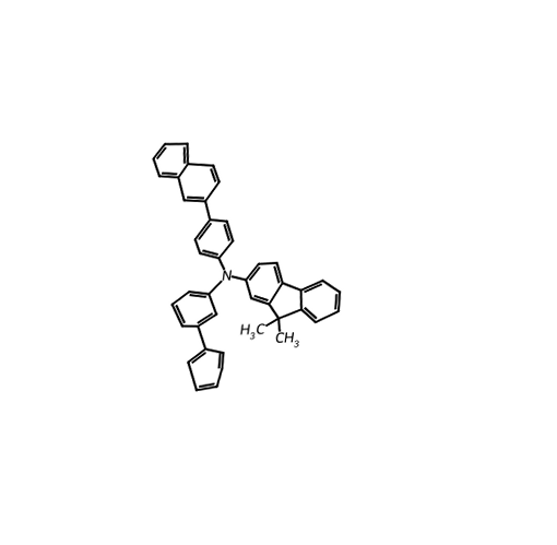 CC1(C)c2ccccc2-c2ccc(N(c3ccc(-c4ccc5ccccc5c4)cc3)c3cccc(-c4ccccc4)c3)cc21